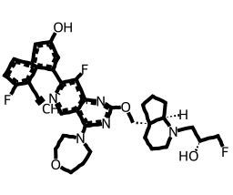 C#Cc1c(F)ccc2cc(O)cc(-c3ncc4c(N5CCCOCC5)nc(OC[C@]56CCC[C@H]5N(C[C@@H](O)CF)CCC6)nc4c3F)c12